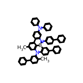 Cc1cc2c3c(c1)N(c1cc(-c4ccccc4)ccc1C)c1ccc(-c4ccccc4)cc1B3N(c1ccc(-c3ccccc3)cc1)c1cc(N(c3ccccc3)c3ccccc3)ccc1-2